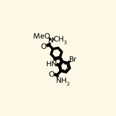 CON(C)C(=O)C1CCc2c([nH]c3c(C(N)=O)ccc(Br)c23)C1